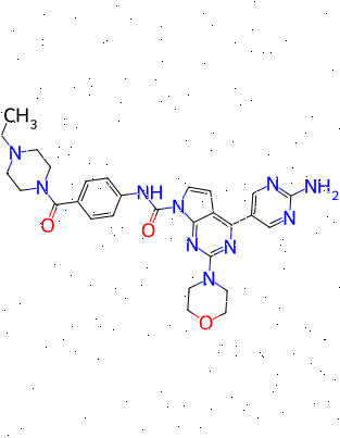 CCN1CCN(C(=O)c2ccc(NC(=O)n3ccc4c(-c5cnc(N)nc5)nc(N5CCOCC5)nc43)cc2)CC1